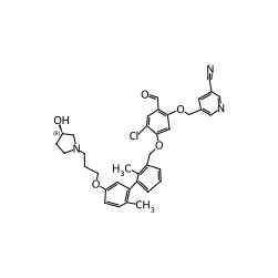 Cc1ccc(OCCCN2CC[C@@H](O)C2)cc1-c1cccc(COc2cc(OCc3cncc(C#N)c3)c(C=O)cc2Cl)c1C